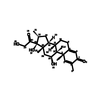 CC1=C[C@@]2(C)C(=CC1=O)CC[C@H]1[C@@H]3C[C@@H](C)[C@](O)(C(=O)CO)[C@@]3(C)C[C@H](O)[C@@]12F